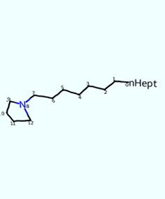 CCCCCCCCCCCCCCN1[CH]CCC1